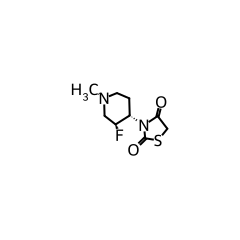 CN1CC[C@H](N2C(=O)CSC2=O)[C@@H](F)C1